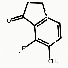 Cc1ccc2c(c1F)C(=O)CC2